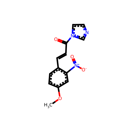 COc1ccc(C=CC(=O)n2ccnc2)c([N+](=O)[O-])c1